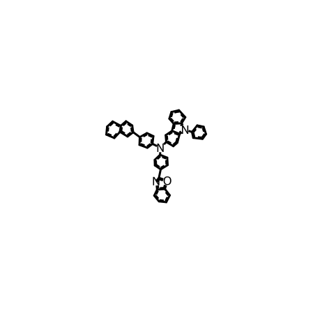 c1ccc(-n2c3ccccc3c3cc(N(c4ccc(-c5ccc6ccccc6c5)cc4)c4ccc(-c5nc6ccccc6o5)cc4)ccc32)cc1